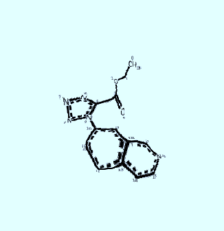 CCOC(=O)c1nnnn1-c1ccc2ccncc2c1